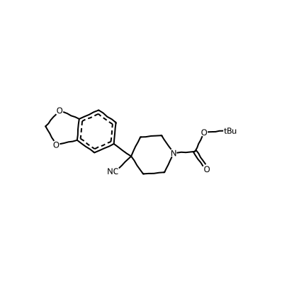 CC(C)(C)OC(=O)N1CCC(C#N)(c2ccc3c(c2)OCO3)CC1